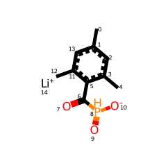 Cc1cc(C)c(C(=O)[PH](=O)[O-])c(C)c1.[Li+]